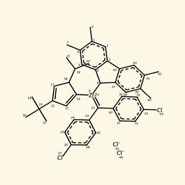 Cc1cc2c(cc1C)[CH]([Zr+2]([C]1=CC(C(C)(C)C)=CC1C(C)C)=[C](c1ccc(Cl)cc1)c1ccc(Cl)cc1)c1cc(C)c(C)cc1-2.[Cl-].[Cl-]